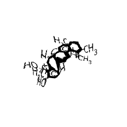 C[C@H]1[C@H]2C3=CC[C@@H]4[C@@]5(C)CC[C@@H](O)[C@](C)(C(=O)O)[C@@H]5CC[C@@]4(C)[C@]3(C)CC[C@@]2(C)CC[C@@H]1C